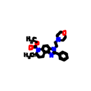 COC(=O)N1c2ccc3c(nc(-c4ccccc4)n3CCN3CCOCC3)c2CC[C@@H]1C